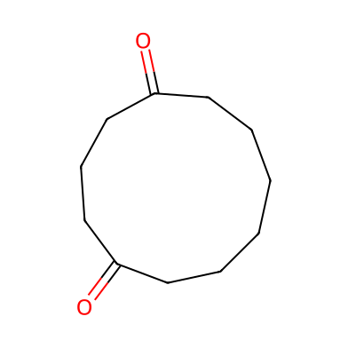 O=C1CCCCCCC(=O)CCC1